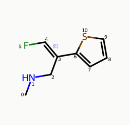 CNC/C(=C\F)c1cccs1